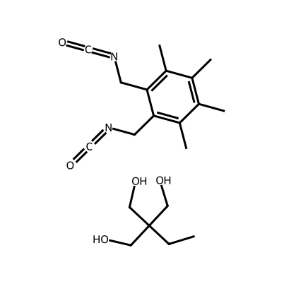 CCC(CO)(CO)CO.Cc1c(C)c(C)c(CN=C=O)c(CN=C=O)c1C